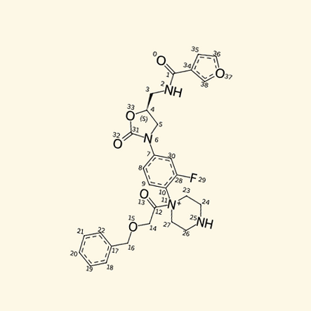 O=C(NC[C@H]1CN(c2ccc([N+]3(C(=O)COCc4ccccc4)CCNCC3)c(F)c2)C(=O)O1)c1ccoc1